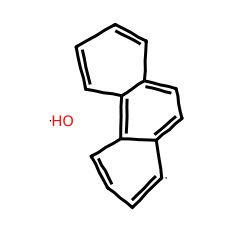 [OH].[c]1cccc2c1ccc1ccccc12